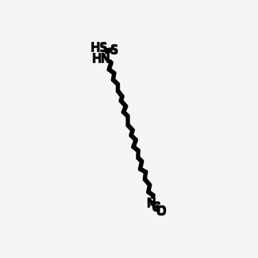 O=C=NCCCCCCCCCCCCCCCCCCCCCCCCCNC(=S)S